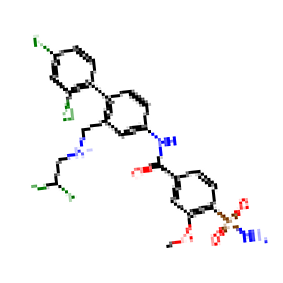 COc1cc(C(=O)Nc2ccc(-c3ccc(F)cc3Cl)c(CNCC(F)F)c2)ccc1S(N)(=O)=O